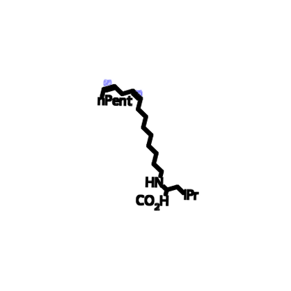 CCCCC/C=C\C/C=C\CCCCCCCCNC(CC(C)C)C(=O)O